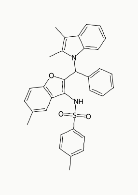 Cc1ccc(S(=O)(=O)Nc2c(C(c3ccccc3)n3c(C)c(C)c4ccccc43)oc3ccc(C)cc23)cc1